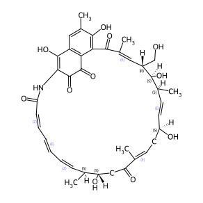 C/C1=C\C[C@H](O)/C=C/[C@H](C)[C@H](O)[C@@H](CO)/C=C(\C)C(=O)c2c(O)c(C)cc3c2C(=O)C(=O)C(=C3O)NC(=O)\C=C/C=C/C=C\[C@H](C)[C@@H](O)CC1=O